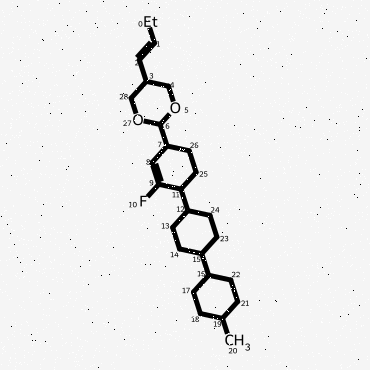 CC/C=C/C1COC(C2C=C(F)C(C3CCC(C4CCC(C)CC4)CC3)CC2)OC1